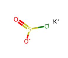 O=S([O-])Cl.[K+]